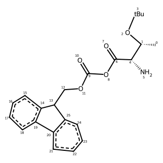 C[C@@H](OC(C)(C)C)[C@H](N)C(=O)OC(=O)OCC1c2ccccc2-c2ccccc21